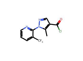 Cc1c(C(=O)Cl)cnn1-c1ncccc1C(F)(F)F